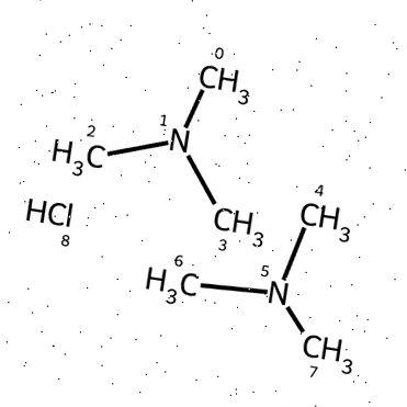 CN(C)C.CN(C)C.Cl